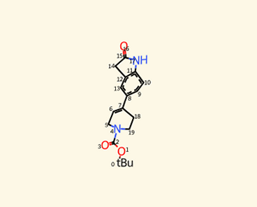 CC(C)(C)OC(=O)N1CC=C(c2ccc3c(c2)CC(=O)N3)CC1